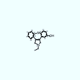 CCN1CC2=C(C1)c1cc(O)ccc1Sc1ccccc12